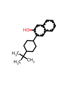 CC(C)(C)C1CCC(c2cc3ccccc3cc2O)CC1